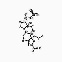 CCC[C@@]1(CCC(C)=O)C(=O)CCC2C3CC[C@H](C(C)OC(C)=O)C3(C)CCC21